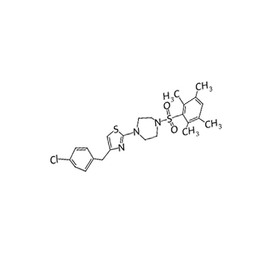 Cc1cc(C)c(C)c(S(=O)(=O)N2CCN(c3nc(Cc4ccc(Cl)cc4)cs3)CC2)c1C